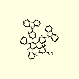 N#Cc1cc(C#N)c(-c2c(-c3ccc(-n4c5ccccc5c5ccccc54)nc3)c(-c3ccc(-n4c5ccccc5c5ccccc54)nc3)c(-c3ccccc3)c3sc4ccccc4c23)c(C#N)c1